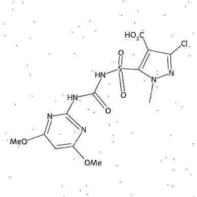 COc1cc(OC)nc(NC(=O)NS(=O)(=O)c2c(C(=O)O)c(Cl)nn2C)n1